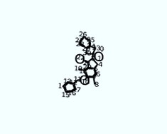 COC1(C2Cc3cc(C)c(OCc4ccccc4)c(C)c3C2=O)Cc2ccccc2C1